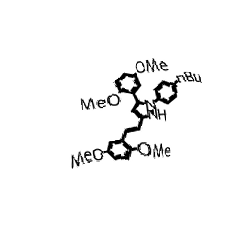 CCCCc1ccc(N2NC(C=Cc3cc(OC)ccc3OC)=CC2c2cc(OC)ccc2OC)cc1